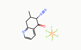 CC1Cc2ncccc2C(=O)C1[N+]#N.F[P-](F)(F)(F)(F)F